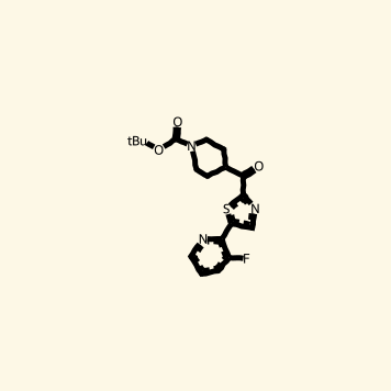 CC(C)(C)OC(=O)N1CCC(C(=O)c2ncc(-c3ncccc3F)s2)CC1